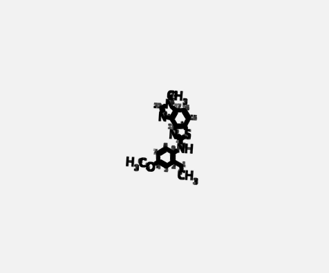 CCc1cc(OC)ccc1Nc1nc2c(ccc3c2ncn3C)s1